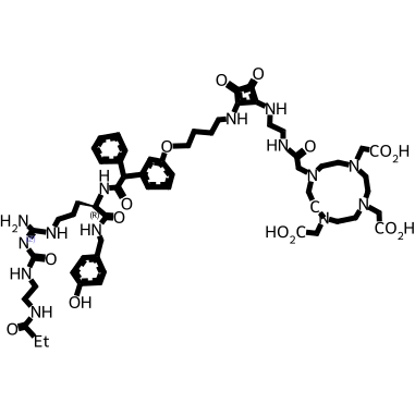 CCC(=O)NCCNC(=O)/N=C(/N)NCCC[C@@H](NC(=O)C(c1ccccc1)c1cccc(OCCCCNc2c(NCCNC(=O)CN3CCN(CC(=O)O)CCN(CC(=O)O)CCN(CC(=O)O)CC3)c(=O)c2=O)c1)C(=O)NCc1ccc(O)cc1